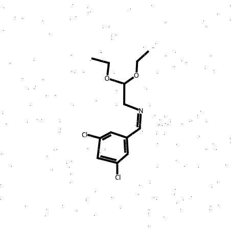 CCOC(C/N=C\c1cc(Cl)cc(Cl)c1)OCC